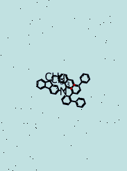 CC1(C)c2ccccc2-c2ccc(N(c3cccc(-c4ccccc4)c3-c3ccc(-c4ccccc4)cc3)c3cccc4ccccc34)cc21